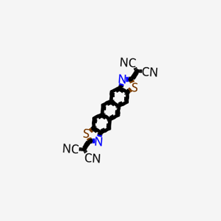 N#CC(C#N)=c1nc2cc3cc4cc5sc(=C(C#N)C#N)nc5cc4cc3cc2s1